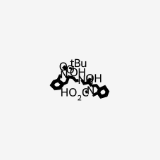 CC(C)(C)OC(=O)N1Cc2ccccc2CC1C(O)CNCC(O)C1Cc2ccccc2CN1C(=O)O